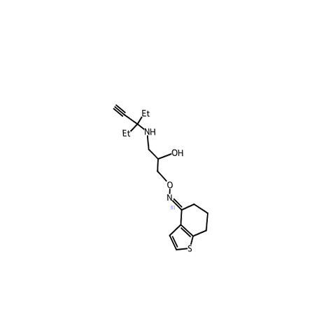 C#CC(CC)(CC)NCC(O)CO/N=C1\CCCc2sccc21